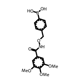 COc1cc(C(=O)NOCc2ccc(B(O)O)cc2)cc(OC)c1OC